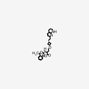 C[C@@H](OC(=O)NC(CCO[C@H]1C[C@H](CCc2ccc3c(n2)NCCC3)C1)C(=O)O)c1ccccc1